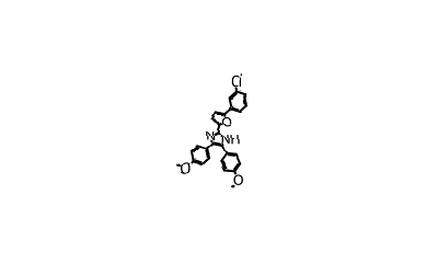 COc1ccc(-c2nc(-c3ccc(-c4cccc(Cl)c4)o3)[nH]c2-c2ccc(OC)cc2)cc1